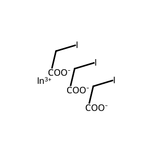 O=C([O-])CI.O=C([O-])CI.O=C([O-])CI.[In+3]